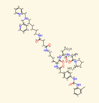 Cc1ccccc1NC(=O)Nc1ccc(CC(=O)N[C@@H](CCCCNC(=O)CCC(=O)NCCCCCCN(Cc2ccccn2)Cc2ccccn2)C(=O)N[C@@H](CC(=O)O)C(=O)N[C@H](C(=O)N2CCC[C@H]2C(=O)O)C(C)C)cc1